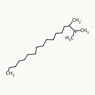 [CH2]C(CCCCCCCCCCCCCC)N(C)C